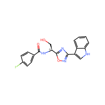 O=C(N[C@@H](CO)c1nc(-c2c[nH]c3ccccc23)no1)c1ccc(F)cc1